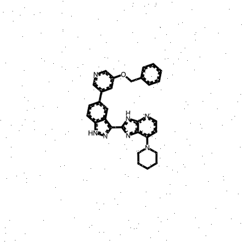 c1ccc(COc2cncc(-c3ccc4[nH]nc(-c5nc6c(N7CCCCC7)ccnc6[nH]5)c4c3)c2)cc1